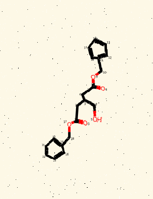 O=C(CC(CO)CC(=O)OCc1ccccc1)OCc1ccccc1